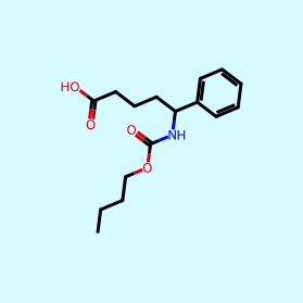 CCCCOC(=O)NC(CCCC(=O)O)c1ccccc1